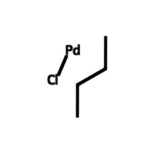 CCCC.[Cl][Pd]